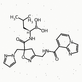 CC(C)C[C@H](NC(=O)C1(Cn2cccn2)CC(CNC(=O)c2cccn3ccnc23)=NO1)B(O)O